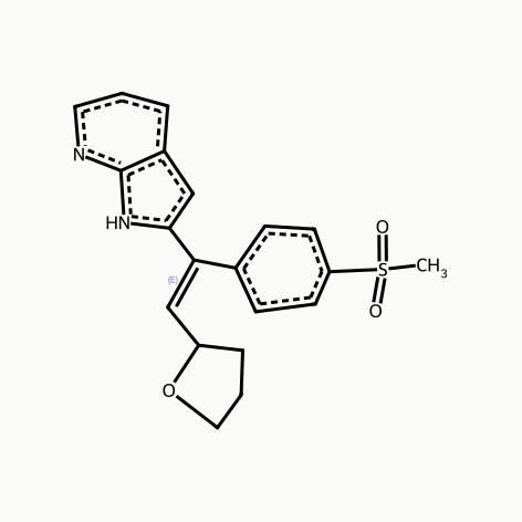 CS(=O)(=O)c1ccc(/C(=C\C2CCCO2)c2cc3cccnc3[nH]2)cc1